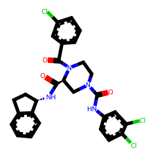 O=C(N[C@H]1CCc2ccccc21)[C@@H]1CN(C(=O)Nc2ccc(Cl)c(Cl)c2)CCN1C(=O)c1cccc(Cl)c1